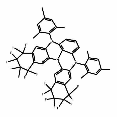 Cc1cc(C)c(B2c3cc4c(cc3N3c5cc6c(cc5B(c5c(C)cc(C)cc5C)c5cccc2c53)C(F)(F)C(F)(F)C(F)(F)C6(F)F)C(F)(F)C(F)(F)C(F)(F)C4(F)F)c(C)c1